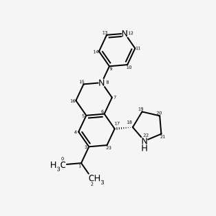 CC(C)C1=CC2=C(CN(c3ccncc3)CC2)C([C@@H]2CCCN2)C1